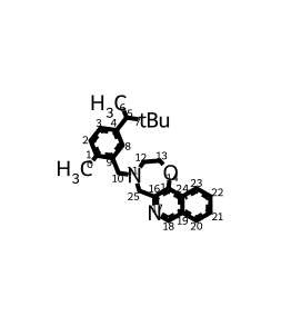 Cc1ccc(C(C)C(C)(C)C)cc1CN1CCOc2c(ncc3ccccc23)C1